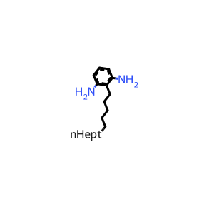 CCCCCCCCCCCCc1c(N)cccc1N